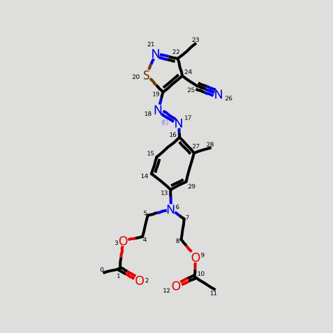 CC(=O)OCCN(CCOC(C)=O)c1ccc(/N=N/c2snc(C)c2C#N)c(C)c1